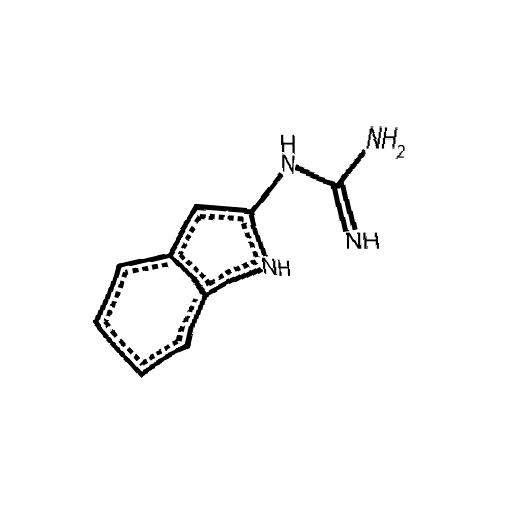 N=C(N)Nc1cc2ccccc2[nH]1